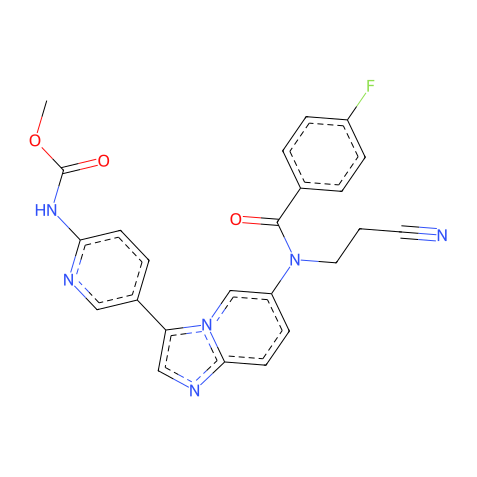 COC(=O)Nc1ccc(-c2cnc3ccc(N(CCC#N)C(=O)c4ccc(F)cc4)cn23)cn1